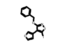 Ic1snc(OCc2ccccc2)c1-c1ccoc1